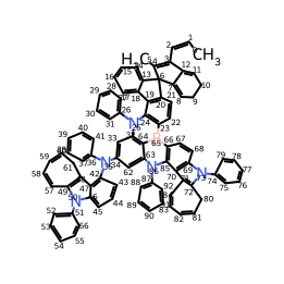 C/C=C\C1=C(C)C2(C3=CCCC=C31)c1ccccc1-c1c2ccc2c1N(c1ccccc1)c1cc(N(c3ccccc3)c3cccc4c3c3c(n4-c4ccccc4)C=CC=CC3)cc3c1B2c1ccc2c(c4c(n2-c2ccccc2)CC=CC=C4)c1N3c1ccccc1